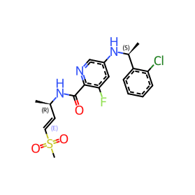 C[C@H](/C=C/S(C)(=O)=O)NC(=O)c1ncc(N[C@@H](C)c2ccccc2Cl)cc1F